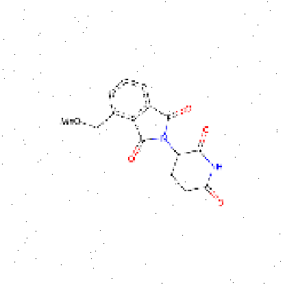 COCc1cccc2c1C(=O)N(C1CCC(=O)NC1=O)C2=O